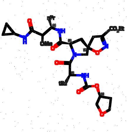 CCC[C@H](NC(=O)[C@@H]1C[C@]2(CC(C(=O)OCC)=NO2)CN1C(=O)[C@@H](NC(=O)O[C@H]1CCOC1)C(C)(C)C)C(OC)C(=O)NC1CC1